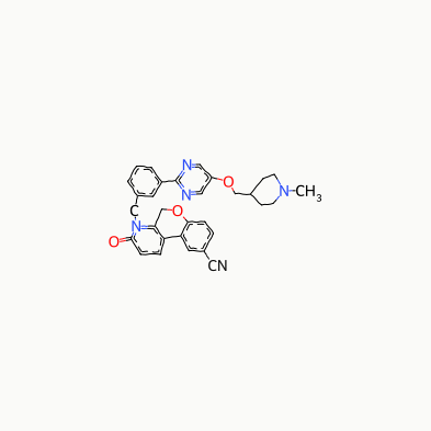 CN1CCC(COc2cnc(-c3cccc(Cn4c5c(ccc4=O)-c4cc(C#N)ccc4OC5)c3)nc2)CC1